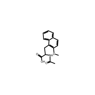 COc1ccc2ccccc2c1CC(NC(C)=O)C(=O)O